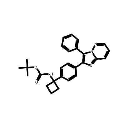 CC(C)(C)OC(=O)NC1(c2ccc(-c3nc4cccnn4c3-c3ccccc3)cc2)CCC1